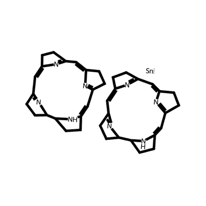 C1=C2CCC(=N2)C=C2CCC(N2)C2CCC(=N2)C=C2CCC1=N2.C1=C2CCC(=N2)C=C2CCC(N2)C2CCC(=N2)C=C2CCC1=N2.[Sn]